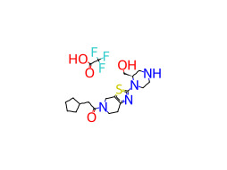 O=C(CC1CCCC1)N1CCc2nc(N3CCNC[C@@H]3CO)sc2C1.O=C(O)C(F)(F)F